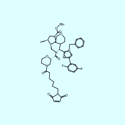 CC(C)(C)OC(=O)N1C[C@@H](CN(C(=O)[C@@H]2CN(C(=O)CCCCCN3C(=O)C=CC3=O)CCO2)[C@@H](c2nc(-c3cc(F)ccc3F)cn2Cc2ccccc2)C2CCOCC2)[C@@H](F)C1